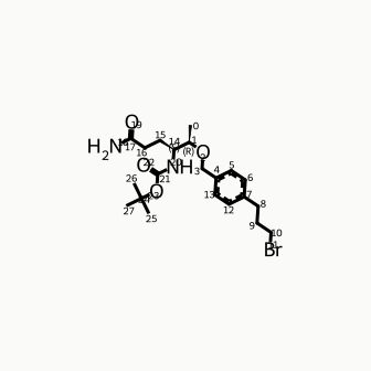 C[C@@H](OCc1ccc(CCCBr)cc1)[C@H](CCC(N)=O)NC(=O)OC(C)(C)C